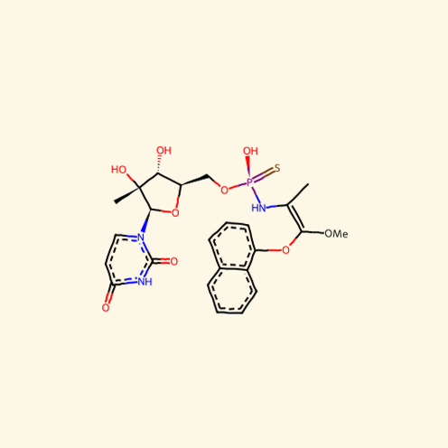 COC(Oc1cccc2ccccc12)=C(C)N[P@@](O)(=S)OC[C@H]1O[C@@H](n2ccc(=O)[nH]c2=O)[C@](C)(O)[C@@H]1O